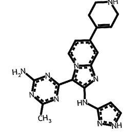 Cc1nc(N)nc(-c2c(Nc3cc[nH]n3)nc3cc(C4=CCNCC4)ccn23)n1